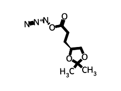 CC1(C)OC[C@H](CCC(=O)ON=[N+]=[N-])O1